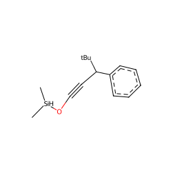 C[SiH](C)OC#CC(c1ccccc1)C(C)(C)C